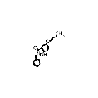 CCCCOc1ccc2[nH]n(Cc3ccccc3)c(=O)c2c1